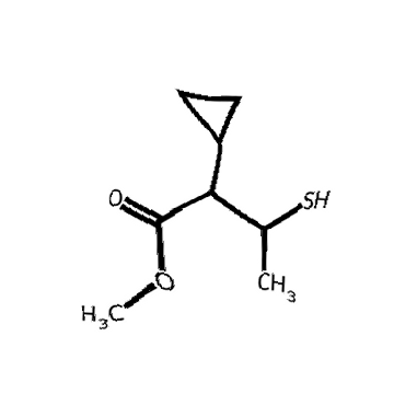 COC(=O)C(C(C)S)C1CC1